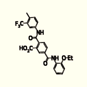 CCOc1ccccc1NC(=O)c1ccc(C(=O)Nc2ccc(C)c(C(F)(F)F)c2)c(C(=O)O)c1